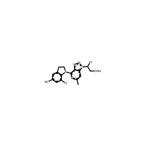 CCC(COC)n1nnc2c(N3CCc4cc(C#N)cc(Cl)c43)nc(C)cc21